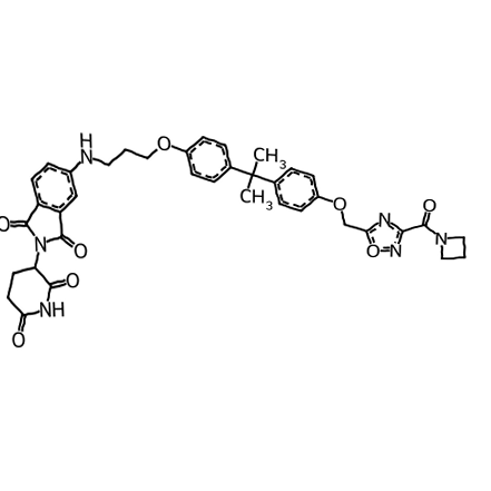 CC(C)(c1ccc(OCCCNc2ccc3c(c2)C(=O)N(C2CCC(=O)NC2=O)C3=O)cc1)c1ccc(OCc2nc(C(=O)N3CCC3)no2)cc1